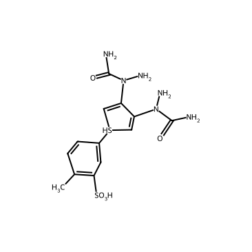 Cc1ccc([SH]2C=C(N(N)C(N)=O)C(N(N)C(N)=O)=C2)cc1S(=O)(=O)O